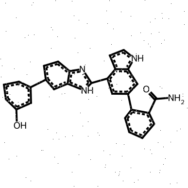 NC(=O)c1ccccc1-c1cc(-c2nc3ccc(-c4cccc(O)c4)cc3[nH]2)c2cc[nH]c2c1